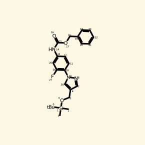 CC(C)(C)[Si](C)(C)OCc1cnn(-c2ccc(NC(=O)OCc3ccccc3)cc2F)c1